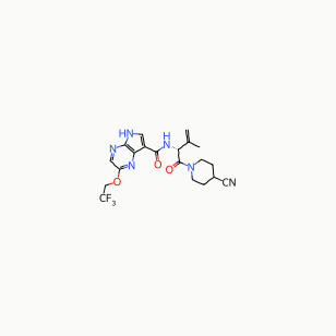 C=C(C)[C@@H](NC(=O)c1c[nH]c2ncc(OCC(F)(F)F)nc12)C(=O)N1CCC(C#N)CC1